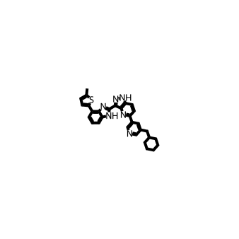 Cc1ccc(-c2cccc3[nH]c(-c4n[nH]c5ccc(-c6cncc(CC7CCCCC7)c6)nc45)nc23)s1